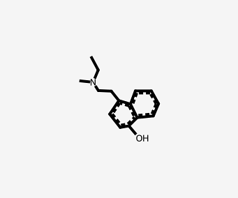 CCN(C)CCc1ccc(O)c2ccccc12